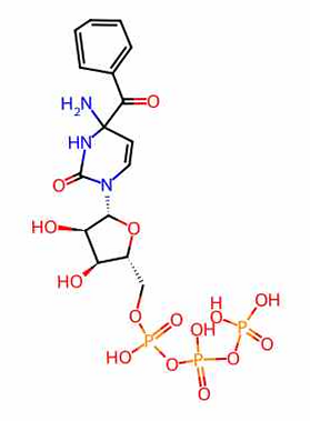 NC1(C(=O)c2ccccc2)C=CN([C@@H]2O[C@H](COP(=O)(O)OP(=O)(O)OP(=O)(O)O)[C@@H](O)[C@H]2O)C(=O)N1